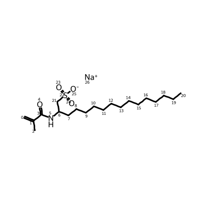 C=C(C)C(=O)NC(CCCCCCCCCCCCCC)CS(=O)(=O)[O-].[Na+]